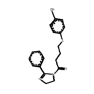 O=C(CCCSc1ccc(O)cc1)N1CCN=C1c1ccccc1